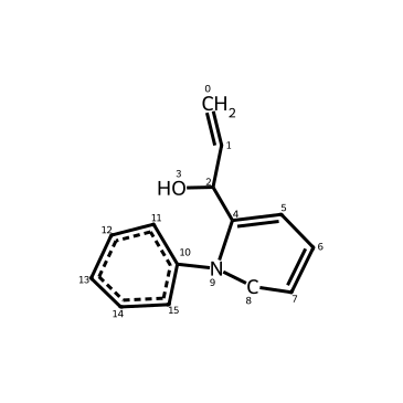 C=CC(O)C1=CC=CCN1c1ccccc1